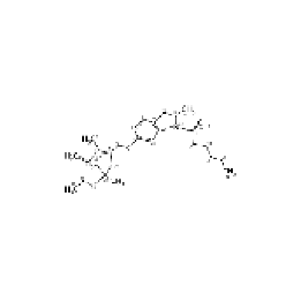 C=C/C(C)=C(/CCc1ccc(CC(C)NC(=C)CCCCC)cc1)CC(C)(C)CCC